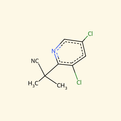 CC(C)(C#N)c1ncc(Cl)cc1Cl